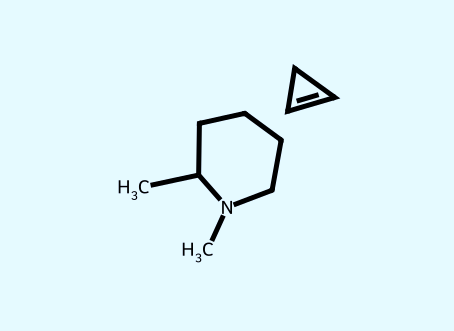 C1=CC1.CC1CCCCN1C